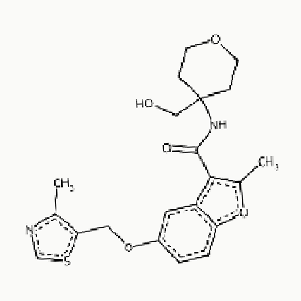 Cc1ncsc1COc1ccc2oc(C)c(C(=O)NC3(CO)CCOCC3)c2c1